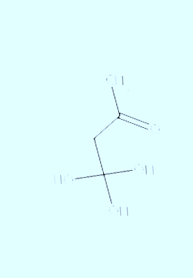 [CH2]C(=O)CC(O)(O)O